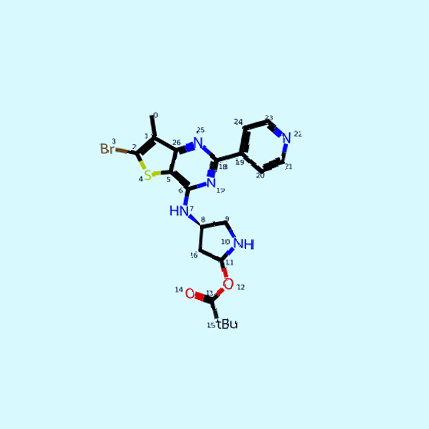 Cc1c(Br)sc2c(N[C@H]3CNC(OC(=O)C(C)(C)C)C3)nc(-c3ccncc3)nc12